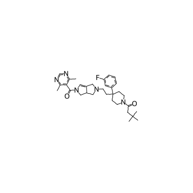 Cc1ncnc(C)c1C(=O)N1C=C2CN(CCC3(c4cccc(F)c4)CCN(C(=O)CC(C)(C)C)CC3)CC2C1